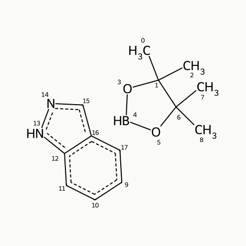 CC1(C)OBOC1(C)C.c1ccc2[nH]ncc2c1